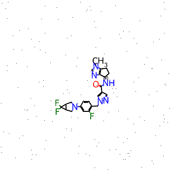 Cn1cnc2c1CC[C@H]2NC(=O)c1cnn(Cc2ccc(N3CC4C(C3)C4(F)F)cc2F)c1